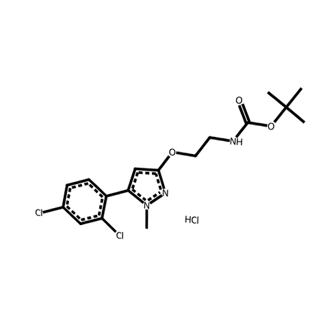 Cl.Cn1nc(OCCNC(=O)OC(C)(C)C)cc1-c1ccc(Cl)cc1Cl